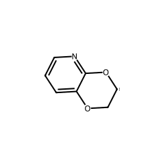 [C]1COc2cccnc2O1